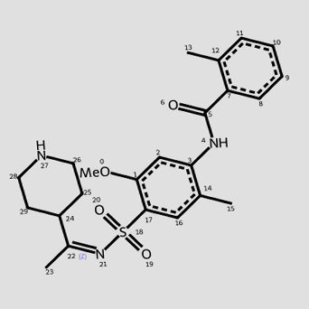 COc1cc(NC(=O)c2ccccc2C)c(C)cc1S(=O)(=O)/N=C(/C)C1CCNCC1